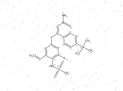 C=Cc1cc(CC(=CC(N)=O)c2ccc(C(C)(C)C)cc2)cc(F)c1NS(C)(=O)=O